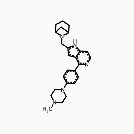 CN1CCN(c2ccc(-c3nccc4[nH]c(CN5C6CCCC5C6)cc34)cc2)CC1